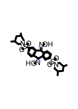 CC1CC(C)CN(S(=O)(=O)c2ccc3c(c2)/C(=N/O)c2ccc(S(=O)(=O)N4CC(C)CC(C)C4)cc2/C3=N/O)C1